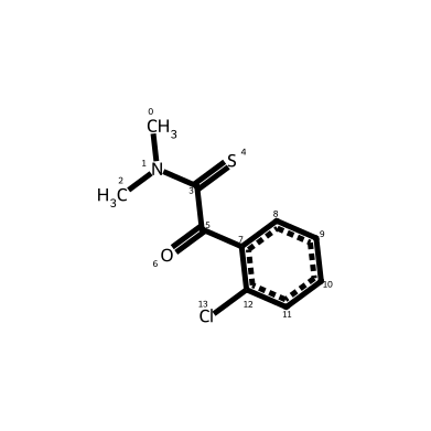 CN(C)C(=S)C(=O)c1ccccc1Cl